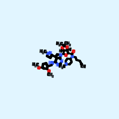 C#CCCCN(C(=O)[C@H]1O[C@@H](n2cc(-c3ccn(C)n3)c3c(NCc4ccc(OC)cc4OC)ncnc32)[C@@H]2OC(C)(C)O[C@@H]21)C1CCN(C)CC1